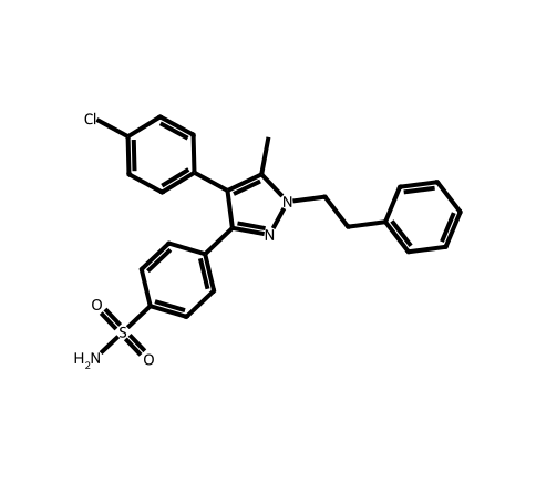 Cc1c(-c2ccc(Cl)cc2)c(-c2ccc(S(N)(=O)=O)cc2)nn1CCc1ccccc1